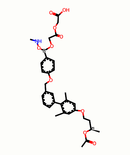 CNOB(OCC(=O)OCC(=O)O)c1ccc(OCc2cccc(-c3c(C)cc(OCC[C@@H](C)OC(C)=O)cc3C)c2)cc1